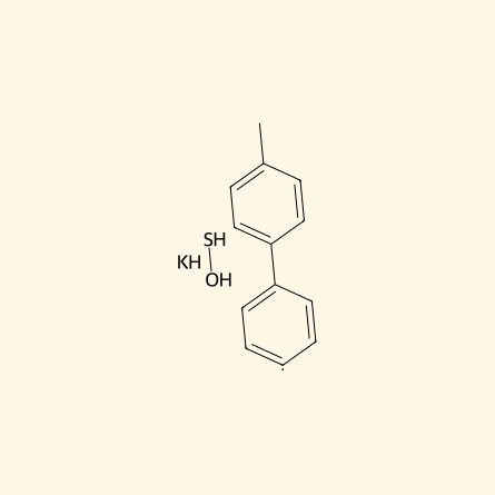 Cc1ccc(-c2cc[c]cc2)cc1.OS.[KH]